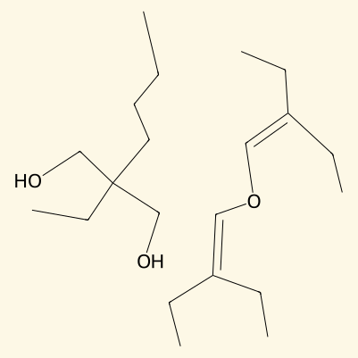 CCC(=COC=C(CC)CC)CC.CCCCC(CC)(CO)CO